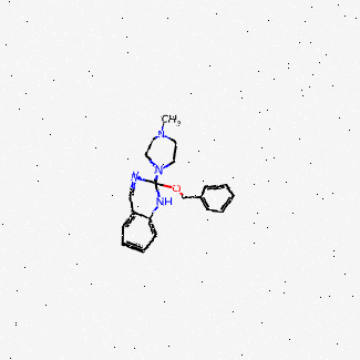 CN1CCN(C2(OCc3ccccc3)N=Cc3ccccc3N2)CC1